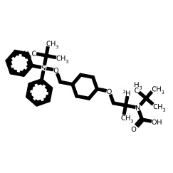 [2H]C(C)(COC1CCC(CO[Si](c2ccccc2)(c2ccccc2)C(C)(C)C)CC1)N(C(=O)O)C(C)(C)C